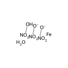 O.O=[N+]([O-])O.O=[N+]([O-])[O-].O=[N+]([O-])[O-].[Fe]